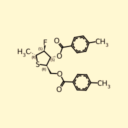 Cc1ccc(C(=O)OC[C@H]2S[C@H](C)[C@@H](F)[C@@H]2OC(=O)c2ccc(C)cc2)cc1